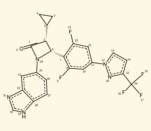 O=C1[C@H](C2CC2)[C@H](c2c(F)cc(-n3ccc(C(F)(F)F)n3)cc2F)N1c1ccc2[nH]cnc2c1